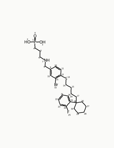 O=P(O)(O)CCCNCc1ccc(SCCCCC2(c3ccccc3F)CCCCC2)c(Br)c1